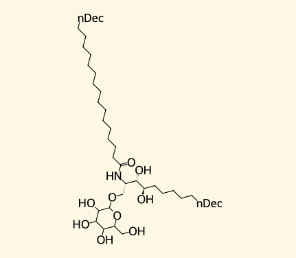 CCCCCCCCCCCCCCCCCCCCCCCCCC(=O)N[C@@H](COC1OC(CO)C(O)C(O)C1O)[C@H](O)[C@H](O)CCCCCCCCCCCCCCC